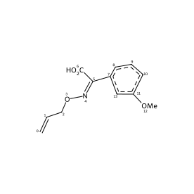 C=CCON=C(C(=O)O)c1cccc(OC)c1